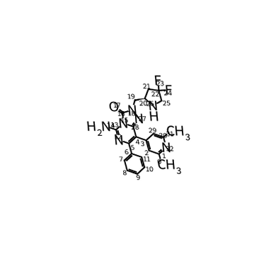 Cc1cc(-c2c(-c3ccccc3)nc(N)n3c(=O)n(C[C@H]4CC(F)(F)CN4)nc23)cc(C)n1